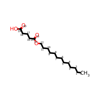 CCCCCCCCCCCCCOC(=O)CCCC(=O)O